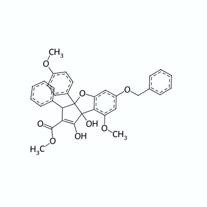 COC(=O)C1=C(O)C2(O)c3c(OC)cc(OCc4ccccc4)cc3OC2(c2ccc(OC)cc2)C1c1ccccc1